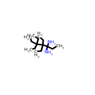 CCC(N)(N)C(CC)(CC)C(CC)(CC)CC